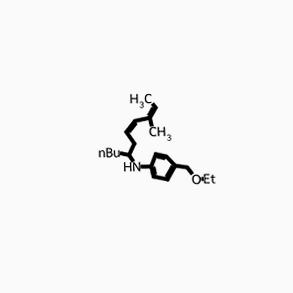 C/C=C(C)\C=C/CC(CCCC)Nc1ccc(COCC)cc1